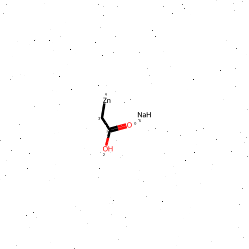 O=C(O)[CH2][Zn].[NaH]